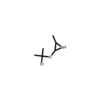 CCC(C)(C)OC1NC1C